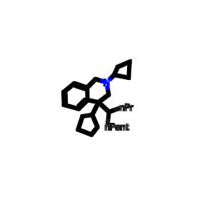 CCCCCC(CCC)C1(C2CCCC2)CN(C2CCC2)Cc2ccccc21